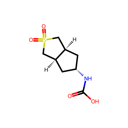 O=C(O)N[C@H]1C[C@@H]2CS(=O)(=O)C[C@@H]2C1